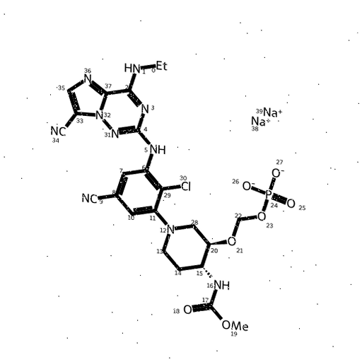 CCNc1nc(Nc2cc(C#N)cc(N3CC[C@@H](NC(=O)OC)[C@H](OCOP(=O)([O-])[O-])C3)c2Cl)nn2c(C#N)cnc12.[Na+].[Na+]